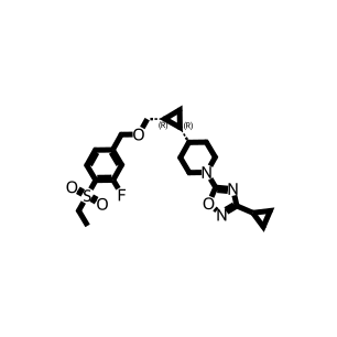 CCS(=O)(=O)c1ccc(COC[C@@H]2C[C@@H]2C2CCN(c3nc(C4CC4)no3)CC2)cc1F